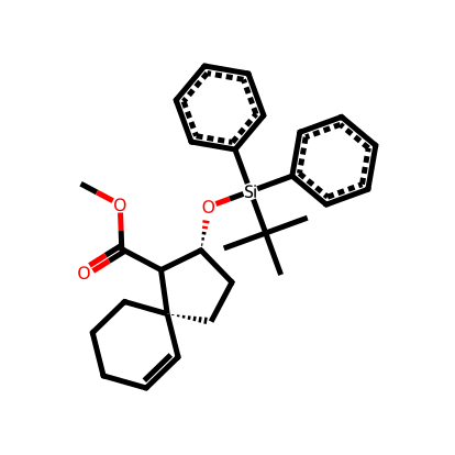 COC(=O)C1[C@H](O[Si](c2ccccc2)(c2ccccc2)C(C)(C)C)CC[C@@]12C=CCCC2